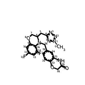 Cn1nnc(CC2COc3cc(F)cc(F)c3N2Cc2ccc3c(c2)NC(=O)CO3)n1